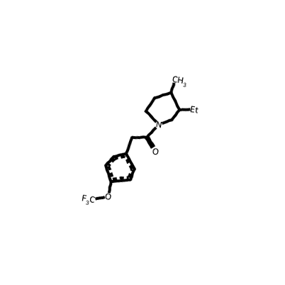 CCC1CN(C(=O)Cc2ccc(OC(F)(F)F)cc2)CCC1C